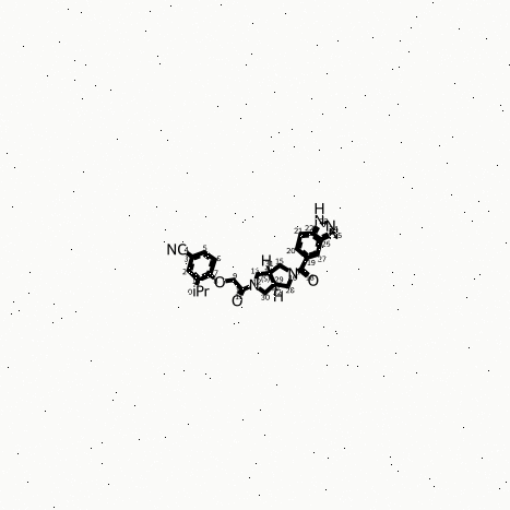 CC(C)c1cc(C#N)ccc1OCC(=O)N1C[C@@H]2CN(C(=O)c3ccc4[nH]nnc4c3)C[C@H]2C1